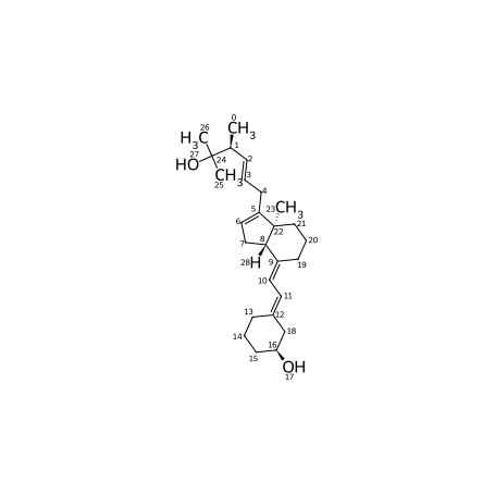 C[C@@H](/C=C/CC1=CC[C@H]2/C(=C/C=C3\CCC[C@H](O)C3)CCC[C@]12C)C(C)(C)O